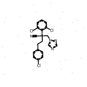 N#CC(CCc1ccc(Cl)cc1)(Cn1cncn1)c1c(Cl)cccc1Cl